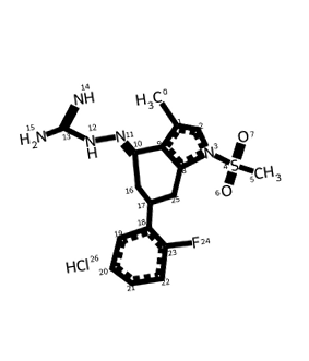 Cc1cn(S(C)(=O)=O)c2c1C(=NNC(=N)N)CC(c1ccccc1F)C2.Cl